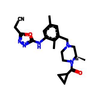 Cc1cc(CN2CCN(C(=O)C3CC3)[C@@H](C)C2)c(C)c(Nc2nnc(CC#N)o2)c1